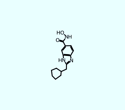 O=C(NO)c1ccc2nc(CC3CCCCC3)[nH]c2c1